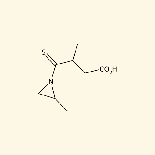 CC(CC(=O)O)C(=S)N1CC1C